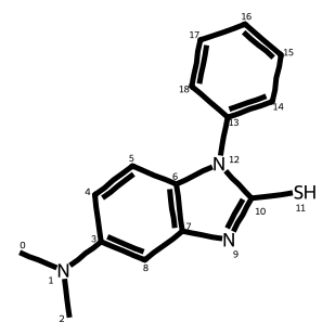 CN(C)c1ccc2c(c1)nc(S)n2-c1ccccc1